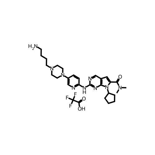 CN(C)C(=O)c1cc2cnc(Nc3ccc(N4CCN(CCCCN)CC4)cn3)nc2n1C1CCCC1.O=C(O)C(F)(F)F